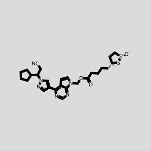 N#CCC(C1CCCC1)n1cc(-c2ncnc3c2ccn3COC(=O)CCCC[C@@H]2CC[S+]([O-])S2)cn1